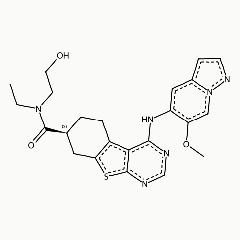 CCN(CCO)C(=O)[C@H]1CCc2c(sc3ncnc(Nc4cc5ccnn5cc4OC)c23)C1